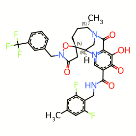 Cc1cc(F)c(CNC(=O)c2cn3c(c(O)c2=O)C(=O)N2C[C@@H]3[C@]3(CC[C@@H]2C)CC(=O)N(Cc2cccc(C(F)(F)F)c2)O3)c(F)c1